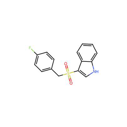 O=S(=O)(Cc1ccc(F)cc1)c1c[nH]c2ccccc12